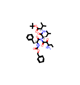 CCC(N)C(=O)C(=O)N(C(=O)[C@H](Cc1ccccc1)NC(=O)OCc1ccccc1)[C@H](CC(C)C)C(=O)N[C@H](C(=O)OC(C)(C)C)C(C)C